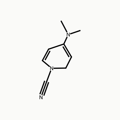 CN(C)C1=CCN(C#N)C=C1